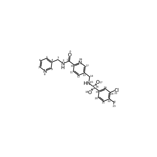 O=C(NCc1cccnc1)c1ccc(CNS(=O)(=O)c2ccc(F)c(Cl)c2)cn1